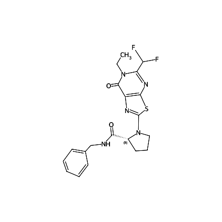 CCn1c(C(F)F)nc2sc(N3CCC[C@@H]3C(=O)NCc3ccccc3)nc2c1=O